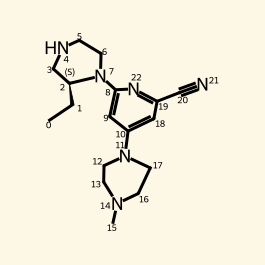 CC[C@H]1CNCCN1c1cc(N2CCN(C)CC2)cc(C#N)n1